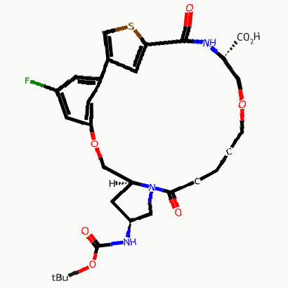 CC(C)(C)OC(=O)N[C@H]1C[C@H]2COc3cc(F)cc(c3)-c3csc(c3)C(=O)N[C@H](C(=O)O)COCCCCC(=O)N2C1